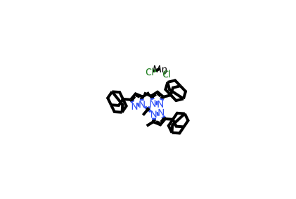 Cc1cc(C23CC4CC(CC(C4)C2)C3)nn1C(C)(n1nc(C23CC4CC(CC(C4)C2)C3)cc1C)n1nc(C23CC4CC(CC(C4)C2)C3)cc1C.[Cl][Mn][Cl]